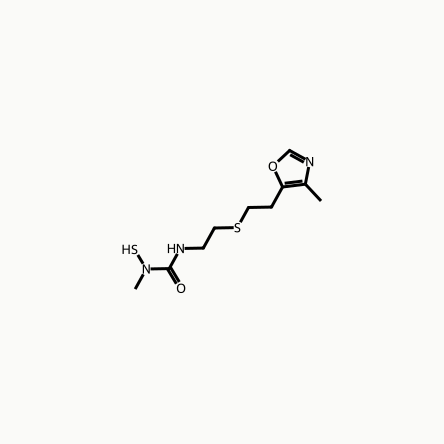 Cc1ncoc1CCSCCNC(=O)N(C)S